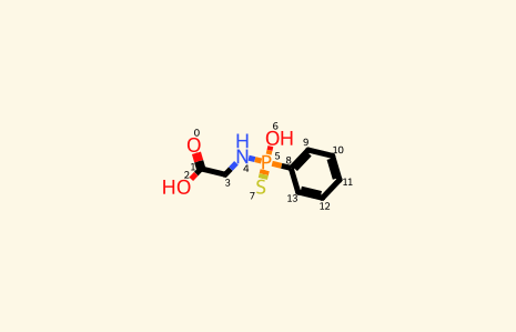 O=C(O)CNP(O)(=S)c1ccccc1